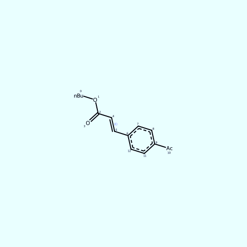 CCCCOC(=O)/C=C/c1ccc(C(C)=O)cc1